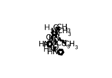 CSCCCNc1nc(C(C)(C)C)ncc1C(=O)N(CC(C)C)[C@@H]1CNC[C@H](NC(=O)Nc2ccccc2)C1